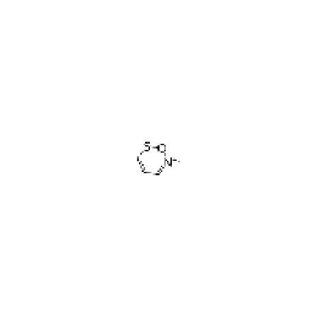 C1=CSO[N+]=C1